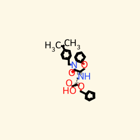 CC(C)c1ccc(CN2C(=O)[C@@H](NC[C@H](OCc3ccccc3)C(=O)O)COc3ccccc32)cc1